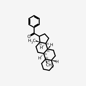 C[C@]12CCCC[C@H]1CC[C@@H]1[C@@H]2CC[C@]2(C)C(C(=O)c3ccccc3)CC[C@@H]12